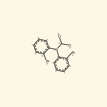 CC(C)c1ccccc1N(c1ccccc1C(C)C)C(Cl)Cl